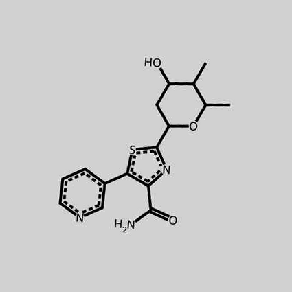 CC1OC(c2nc(C(N)=O)c(-c3cccnc3)s2)CC(O)C1C